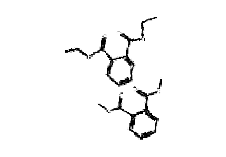 CCOC(=O)c1ccccc1C(=O)OCC.COC(=O)c1ccccc1C(=O)OC